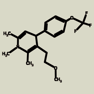 COCCC1=C(C)N(C)C(C)=CC1c1ccc(OC(F)(F)F)cc1